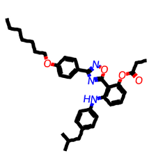 CCCCCCCOc1ccc(-c2noc(-c3c(Nc4ccc(CC(C)C)cc4)cccc3OC(=O)CC)n2)cc1